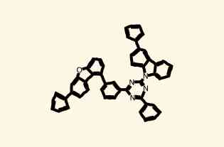 c1ccc(-c2ccc3c(c2)oc2cccc(-c4cccc(-c5nc(-c6ccccc6)nc(-n6c7ccccc7c7cc(-c8ccccc8)ccc76)n5)c4)c23)cc1